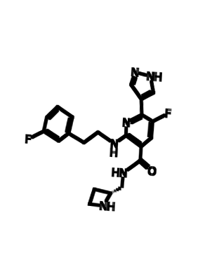 O=C(NC[C@H]1CCN1)c1cc(F)c(-c2cn[nH]c2)nc1NCCc1cccc(F)c1